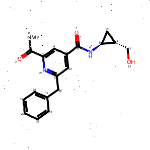 CNC(=O)c1cc(C(=O)N[C@H]2C[C@@H]2CO)cc(Cc2ccccc2)n1